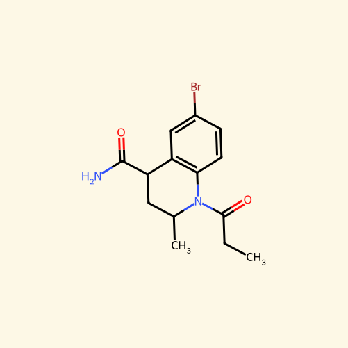 CCC(=O)N1c2ccc(Br)cc2C(C(N)=O)CC1C